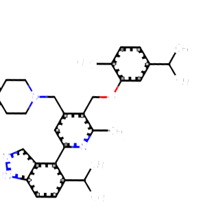 Cc1ccc(C(C)C)cc1OCc1c(CN2CCCCC2)cc(-c2c(C(C)C)ccc3[nH]ncc23)nc1C